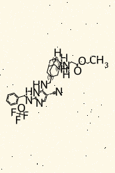 CCOC(=O)CN[C@H]1[C@@H]2CC3C[C@H]1C[C@@](CNc1nc(NCc4ccccc4OC(F)(F)F)ncc1C#N)(C3)C2